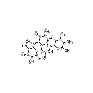 CNC1C(OC2C(CO)OC(OC3C(CO)OC(O)C(N)C3O)C(N)C2O)OC(CO)C(O)C1O